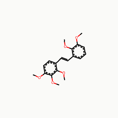 COc1cccc(/C=C/c2ccc(OC)c(OC)c2OC)c1OC